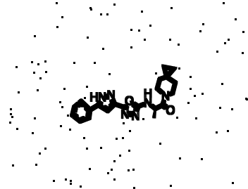 C[C@@H](Nc1nnc(-c2cc(-c3ccccc3)[nH]n2)o1)C(=O)N1CCC2(CC1)CC2